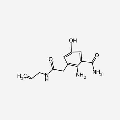 C=CCNC(=O)Cc1cc(O)cc(C(N)=O)c1N